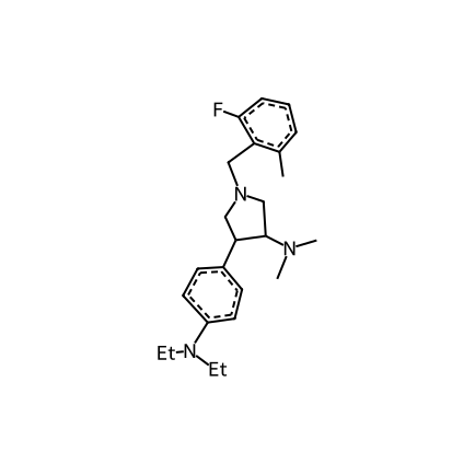 CCN(CC)c1ccc(C2CN(Cc3c(C)cccc3F)CC2N(C)C)cc1